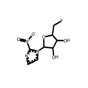 O=[N+]([O-])c1nccn1C1OC(CF)C(O)C1O